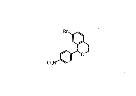 O=[N+]([O-])c1ccc(C2OCCc3ccc(Br)cc32)cc1